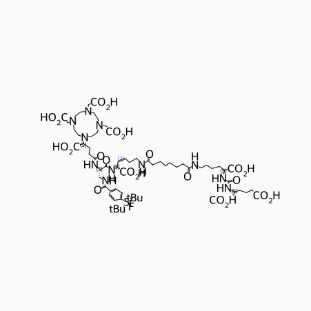 CC(C)(C)[Si](F)(c1ccc(C(=O)NC[C@H](NC(=O)CC[C@@H](C(=O)O)N2CCN(CC(=O)O)CCN(CC(=O)O)CCN(CC(=O)O)CC2)C(=O)N[C@@H](/C=C\CCNC(=O)CCCCCCC(=O)NCCCC[C@H](NC(=O)N[C@@H](CCCC(=O)O)C(=O)O)C(=O)O)C(=O)O)cc1)C(C)(C)C